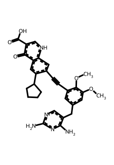 COc1cc(Cc2cnc(N)nc2N)cc(C#Cc2cc3[nH]cc(C(=O)O)c(=O)c3cc2C2CCCC2)c1OC